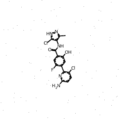 Cc1n[nH]c(Cl)c1NC(=O)c1cc(F)c(-c2nc(N)ccc2Cl)cc1O